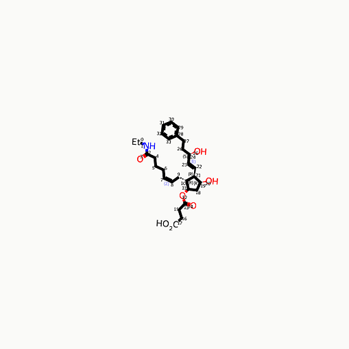 CCNC(=O)CCC/C=C\C[C@H]1C(OC(=O)CCC(=O)O)C[C@@H](O)[C@@H]1/C=C/[C@@H](O)CCc1ccccc1